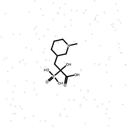 CN1CCCC(CC(O)(C(=O)O)P(=O)(O)O)C1